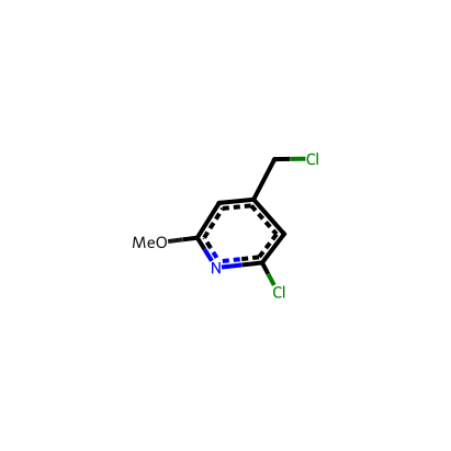 COc1cc(CCl)cc(Cl)n1